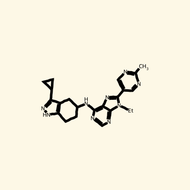 CCn1c(-c2cnc(C)nc2)nc2c(NC3CCc4[nH]nc(C5CC5)c4C3)ncnc21